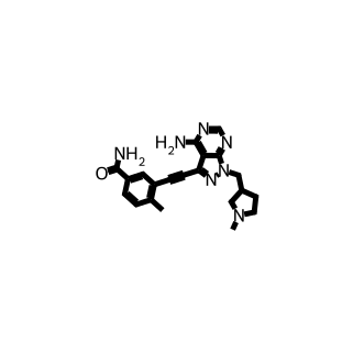 Cc1ccc(C(N)=O)cc1C#Cc1nn(CC2CCN(C)C2)c2ncnc(N)c12